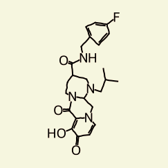 CC(C)CN1CC(C(=O)NCc2ccc(F)cc2)CCN2C(=O)c3c(O)c(=O)ccn3CC12